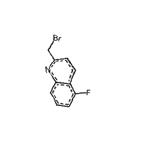 Fc1cccc2nc(CBr)ccc12